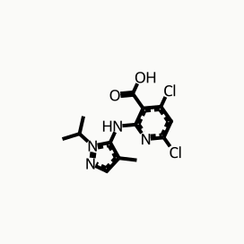 Cc1cnn(C(C)C)c1Nc1nc(Cl)cc(Cl)c1C(=O)O